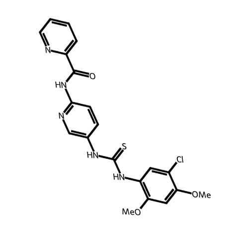 COc1cc(OC)c(NC(=S)Nc2ccc(NC(=O)c3ccccn3)nc2)cc1Cl